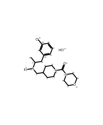 CCN(CC1CCN(C(=O)N2CCOCC2)CC1)C(C)Cc1cccc(Cl)c1.Cl